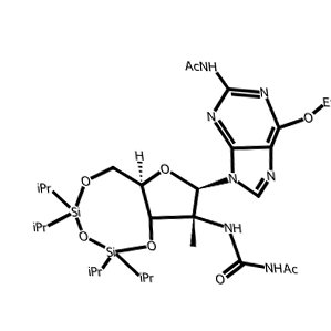 CCOc1nc(NC(C)=O)nc2c1ncn2[C@@H]1O[C@@H]2CO[Si](C(C)C)(C(C)C)O[Si](C(C)C)(C(C)C)OC2[C@@]1(C)NC(=O)NC(C)=O